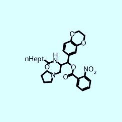 CCCCCCCC(=O)NC(CN1CCCC1)C(OC(=O)c1ccccc1[N+](=O)[O-])c1ccc2c(c1)OCCO2